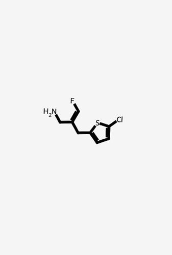 NCC(=CF)Cc1ccc(Cl)s1